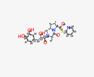 CC(C(=O)N1CCCC1C(=O)Sc1ccccn1)N(C)C(=O)C(O)Cc1ccc(O)c(O)c1